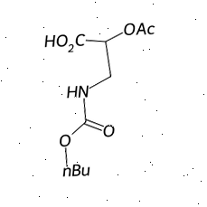 CCCCOC(=O)NCC(OC(C)=O)C(=O)O